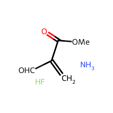 C=C(C=O)C(=O)OC.F.N